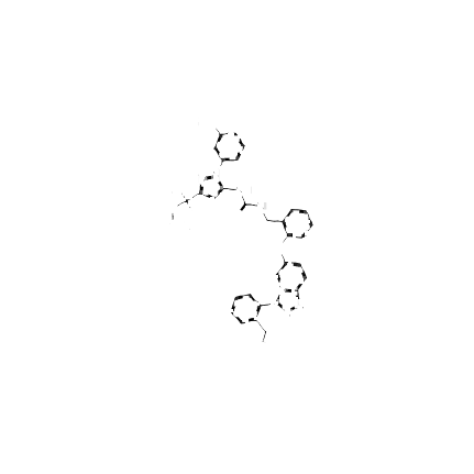 CCc1ccccc1-c1nnc2ccc(Sc3ccccc3CNC(=O)Nc3cc(C(C)(C)SC)nn3-c3cccc(O)c3)cn12